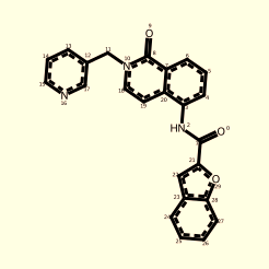 O=C(Nc1cccc2c(=O)n(Cc3cccnc3)ccc12)c1cc2ccccc2o1